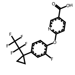 O=C(O)c1ccc(Oc2ccc(C3(C(F)(F)C(F)(F)F)CC3)cc2F)nc1